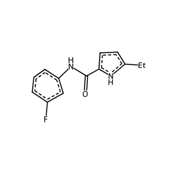 CCc1ccc(C(=O)Nc2cccc(F)c2)[nH]1